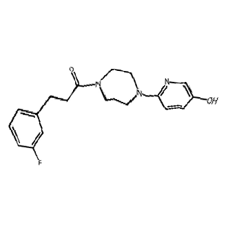 O=C(CCc1cccc(F)c1)N1CCN(c2ccc(O)cn2)CC1